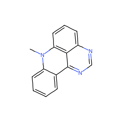 CN1c2ccccc2-c2ncnc3cccc1c23